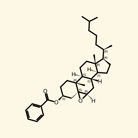 CC(C)CCC[C@@H](C)[C@H]1CC[C@H]2[C@@H]3C[C@H]4O[C@]45C[C@@H](OC(=O)c4ccccc4)CC[C@]5(C)[C@H]3CC[C@]12C